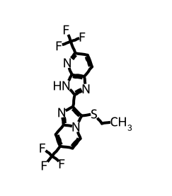 CCSc1c(-c2nc3ccc(C(F)(F)F)nc3[nH]2)nc2cc(C(F)(F)F)ccn12